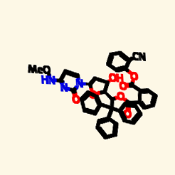 CONc1ccn([C@H]2C[C@H](O)[C@@H](C(OC(=O)c3ccccc3C(=O)Oc3ccccc3C#N)C(c3ccccc3)(c3ccccc3)c3ccccc3)O2)c(=O)n1